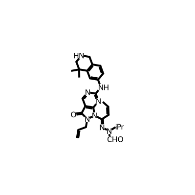 C=CCn1c(=O)c2cnc(Nc3ccc4c(c3)C(C)(C)CNC4)nc2n1C(/C=C\C)=N/N(C=O)C(C)C